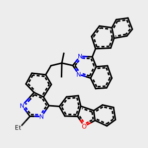 CCc1nc(-c2ccc3c(c2)oc2ccccc23)c2cc(CC(C)(C)c3nc(-c4ccc5ccccc5c4)c4ccccc4n3)ccc2n1